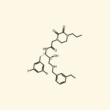 CCCN1CCN(CC(=O)N[C@@H](Cc2cc(F)cc(F)c2)[C@@H](O)CNCc2cccc(CC)c2)C(=O)C1=O